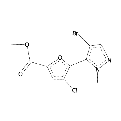 COC(=O)c1cc(Cl)c(-c2c(Br)cnn2C)o1